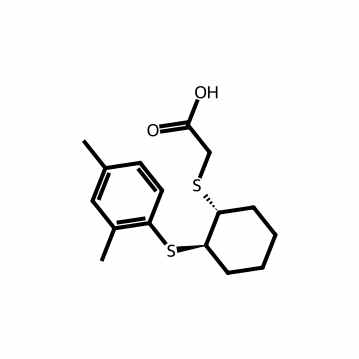 Cc1ccc(S[C@@H]2CCCC[C@H]2SCC(=O)O)c(C)c1